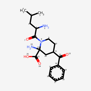 CC(C)CC(N)C(=O)N1CCC(C(=O)c2ccccc2)CC1(N)C(=O)O